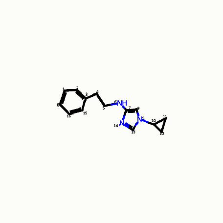 c1ccc(CCNc2cn(C3CC3)cn2)cc1